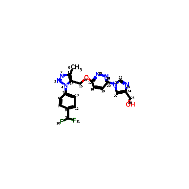 Cc1nnn(-c2ccc(C(F)F)cc2)c1COc1ccc(-n2cnc(CO)c2)nn1